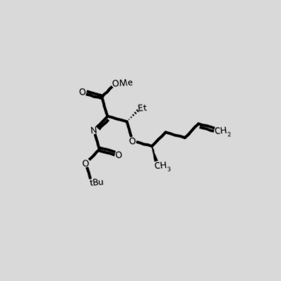 C=CCC[C@@H](C)O[C@@H](CC)/C(=N\C(=O)OC(C)(C)C)C(=O)OC